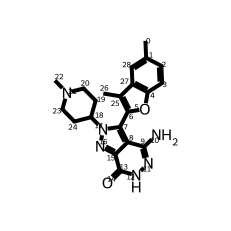 Cc1ccc2oc(-c3c4c(N)n[nH]c(=O)c4nn3C3CCN(C)CC3)c(C)c2c1